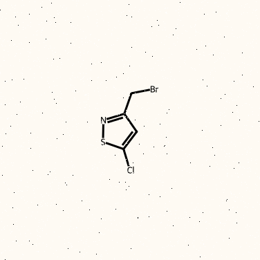 Clc1cc(CBr)ns1